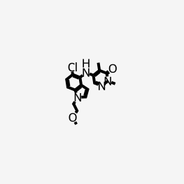 COCCn1ccc2c(Nc3cnn(C)c(=O)c3C)c(Cl)ccc21